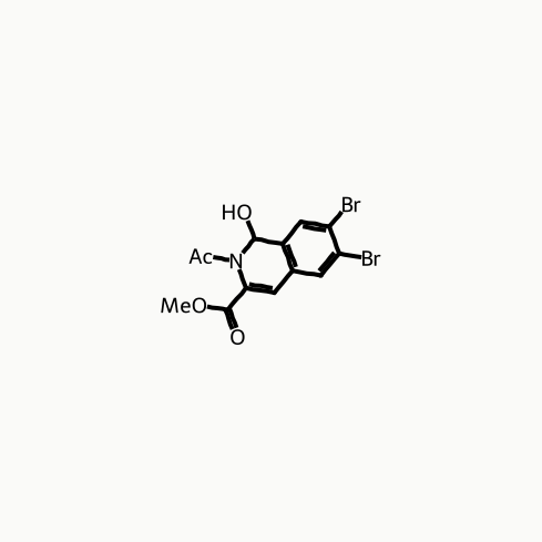 COC(=O)C1=Cc2cc(Br)c(Br)cc2C(O)N1C(C)=O